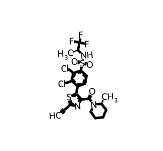 C#Cc1nc(C(=O)N2CCCC[C@@H]2C)c(-c2ccc(S(=O)(=O)N[C@@H](C)C(F)(F)F)c(Cl)c2Cl)s1